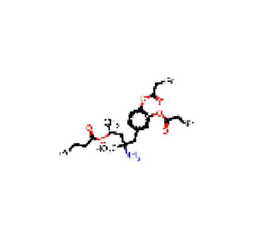 CC(C)CCC(=O)O[C@@H](C)CC(N)(Cc1ccc(OC(=O)CC(C)C)c(OC(=O)CC(C)C)c1)C(=O)O